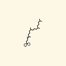 COC(=O)CC/C=C(\C)CCCC(C)CCCC(C)CCCC(C)C